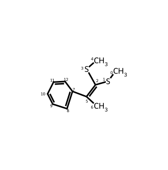 CSC(SC)=C(C)c1ccccc1